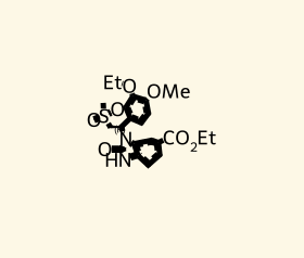 CCOC(=O)c1ccc2[nH]c(=O)n([C@@H](CS(C)(=O)=O)c3ccc(OC)c(OCC)c3)c2c1